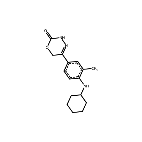 O=C1NN=C(c2ccc(NC3CCCCC3)c(C(F)(F)F)c2)CO1